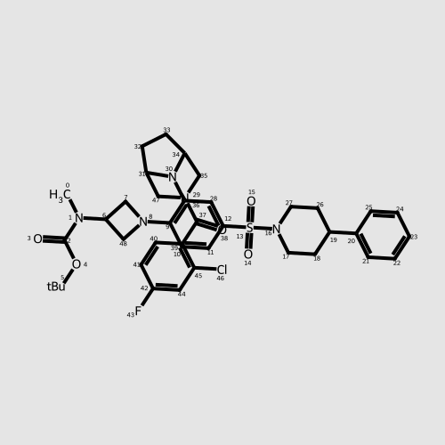 CN(C(=O)OC(C)(C)C)C1CN(c2ccc(S(=O)(=O)N3CCC(c4ccccc4)CC3)cc2N2C3CCC2CN(C(=O)c2ccc(F)cc2Cl)C3)C1